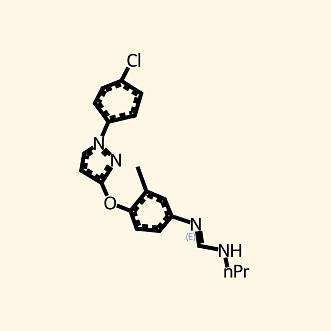 CCCN/C=N/c1ccc(Oc2ccn(-c3ccc(Cl)cc3)n2)c(C)c1